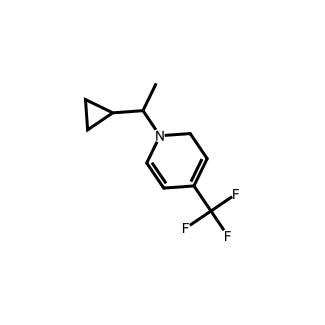 CC(C1CC1)N1C=CC(C(F)(F)F)=CC1